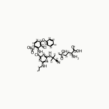 CCNc1nc(Cl)nc(NC(C)(C)C#N)n1.CP(=O)(O)CCC(N)C(=O)O.Nc1c([N+](=O)[O-])ccc(Oc2ccccc2)c1Cl